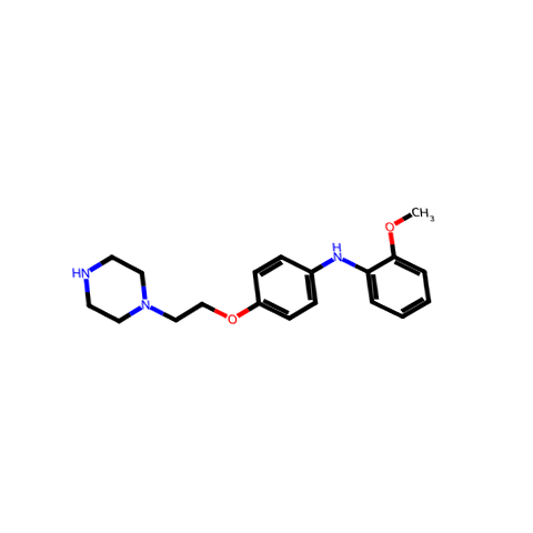 COc1ccccc1Nc1ccc(OCCN2CCNCC2)cc1